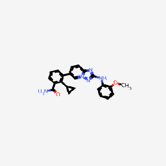 COc1ccccc1Nc1nc2ccc(-c3cccc(C(N)=O)c3C3CC3)cn2n1